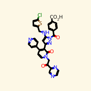 O=C(O)c1ccc(C(=O)n2nc(-c3c(-c4ccncc4)ccn(CC(=O)c4cnccn4)c3=O)cc2NCc2ccc(Cl)s2)cc1